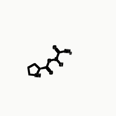 NC(=O)N(Cl)OC(=O)[C@@H]1CCCN1